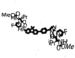 COC(=O)N[C@H](C(=O)N1C[C@@H](F)C[C@H]1C(=O)Nc1ccc2c(c1)C(C)(C)c1cc(-c3ccc(-c4cnc([C@@H]5C[C@H](F)CN5C(=O)[C@@H](NC(=O)OC)C(C)C)[nH]4)cc3)ccc1-2)C(C)C